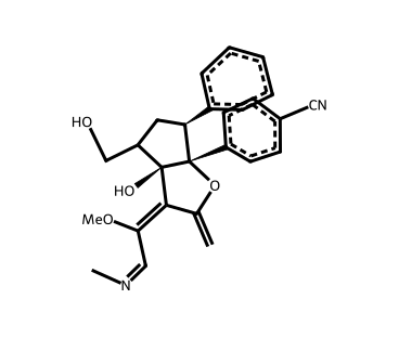 C=C1O[C@@]2(c3ccc(C#N)cc3)[C@H](c3ccccc3)CC(CO)[C@@]2(O)/C1=C(/C=N\C)OC